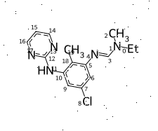 CCN(C)C=Nc1cc(Cl)cc(Nc2ncccn2)c1C